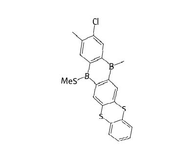 CSB1c2cc(C)c(Cl)cc2B(C)c2cc3c(cc21)Sc1ccccc1S3